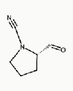 N#CN1CCC[C@H]1C=O